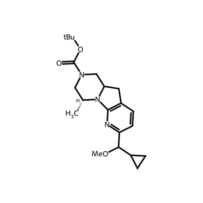 COC(c1ccc2c(n1)N1C(C2)CN(C(=O)OC(C)(C)C)C[C@H]1C)C1CC1